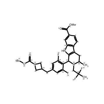 COC(=O)c1ccc2c3c([nH]c2c1)C(c1c(F)cc(CC2CN(C(=O)OC(C)(C)C)C2)cc1F)N(CC(C)(F)F)C(C)C3